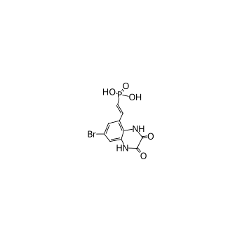 O=c1[nH]c2cc(Br)cc(C=CP(=O)(O)O)c2[nH]c1=O